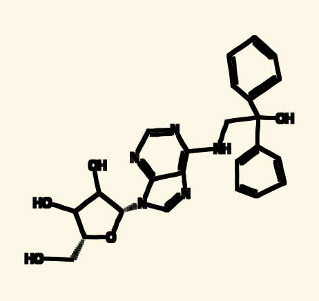 OC[C@H]1O[C@@H](n2cnc3c(NCC(O)(c4ccccc4)c4ccccc4)ncnc32)C(O)C1O